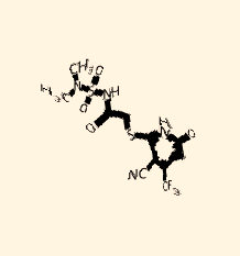 CN(C)S(=O)(=O)NC(=O)CSc1[nH]c(=O)cc(C(F)(F)F)c1C#N